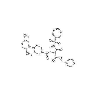 Cc1ccc(C)c(N2CCN(C(=O)C3CN(S(=O)(=O)c4ccccc4)C(=O)N3C(=O)OCc3ccccc3)CC2)c1